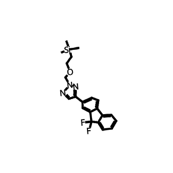 C[Si](C)(C)CCOCn1ncc(-c2ccc3c(c2)C(F)(F)c2ccccc2-3)n1